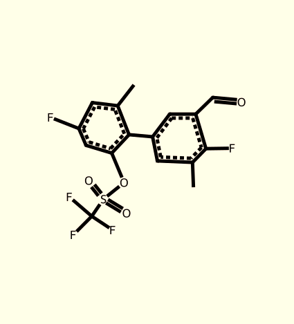 Cc1cc(-c2c(C)cc(F)cc2OS(=O)(=O)C(F)(F)F)cc(C=O)c1F